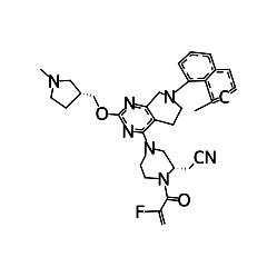 C=C(F)C(=O)N1CCN(c2nc(OC[C@@H]3CCN(C)C3)nc3c2CCN(c2cccc4cccc(C)c24)C3)C[C@@H]1CC#N